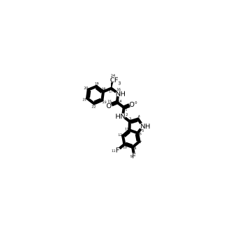 O=C(Nc1c[nH]c2cc(F)c(F)cc12)C(=O)N[C@@H](c1ccccc1)C(F)(F)F